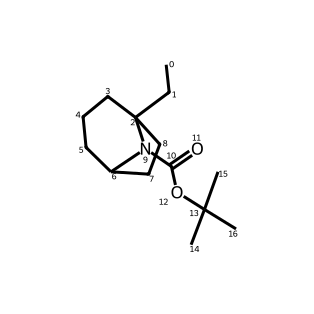 CCC12CCCC(CC1)N2C(=O)OC(C)(C)C